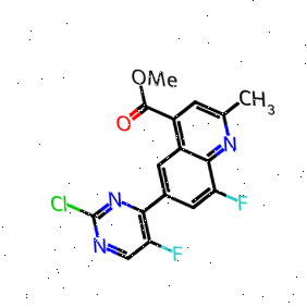 COC(=O)c1cc(C)nc2c(F)cc(-c3nc(Cl)ncc3F)cc12